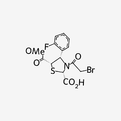 COC(=O)[C@H]1S[C@@H](C(=O)O)N(C(=O)CBr)[C@H]1c1ccccc1F